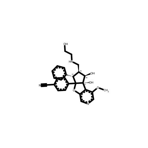 COc1cncc2c1[C@]1(O)[C@H](O)[C@H](CNCCO)[C@@H](c3ccccc3)C1(c1ccc(C#N)cc1)O2